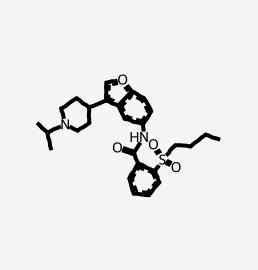 CCCCS(=O)(=O)c1ccccc1C(=O)Nc1ccc2occ(C3CCN(C(C)C)CC3)c2c1